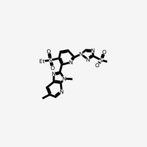 CCS(=O)(=O)c1ccc(-n2cnc(S(C)(=O)=O)n2)nc1-c1nc2cc(C)cnc2n1C